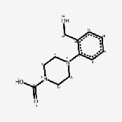 O=C(O)N1CCN(c2ccccc2CO)CC1